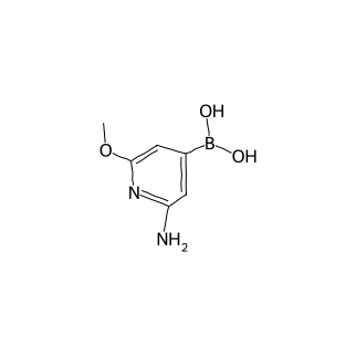 COc1cc(B(O)O)cc(N)n1